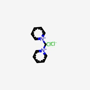 [Cl-].[Cl-].c1cc[n+](C[n+]2ccccc2)cc1